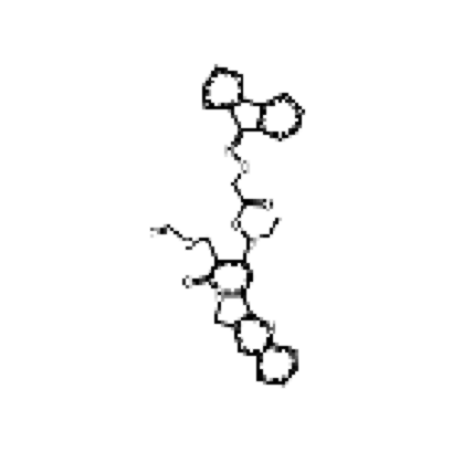 CC[C@H](OC(=O)CON=C1c2ccccc2-c2ccccc21)c1cc2n(c(=O)c1COC=O)Cc1cc3ccccc3nc1-2